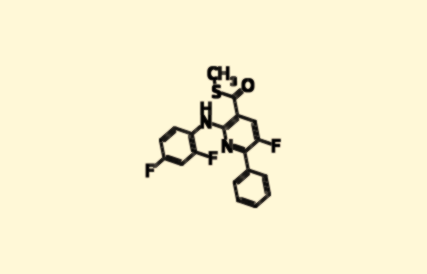 CSC(=O)c1cc(F)c(-c2ccccc2)nc1Nc1ccc(F)cc1F